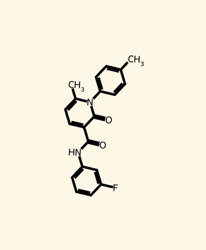 Cc1ccc(-n2c(C)ccc(C(=O)Nc3cccc(F)c3)c2=O)cc1